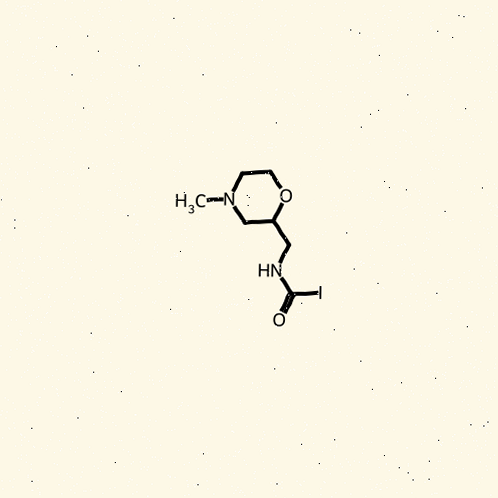 CN1CCOC(CNC(=O)I)C1